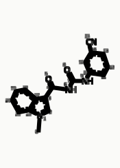 Cn1cc(C(=O)NC(=O)Nc2cccc(C#N)c2)c2cc[c]cc21